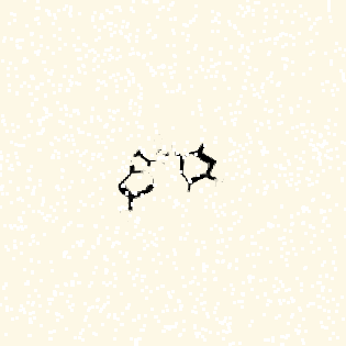 O=S(=O)(Nc1cc(F)c(Br)cc1F)c1cnc2cc(Cl)cnn12